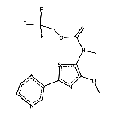 C=C(OCC(F)(F)F)N(C)c1sc(-c2cccnc2)nc1OC